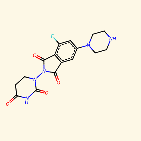 O=C1CCN(N2C(=O)c3cc(N4CCNCC4)cc(F)c3C2=O)C(=O)N1